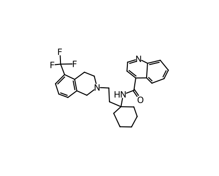 O=C(NC1(CCN2CCc3c(cccc3C(F)(F)F)C2)CCCCC1)c1ccnc2ccccc12